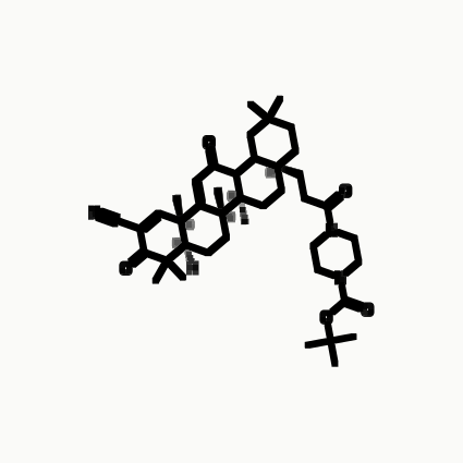 CC1(C)CC[C@]2(CCC(=O)N3CCN(C(=O)OC(C)(C)C)CC3)CC[C@]3(C)C(C(=O)C=C4[C@@]5(C)C=C(C#N)C(=O)C(C)(C)[C@@H]5CC[C@]43C)C2C1